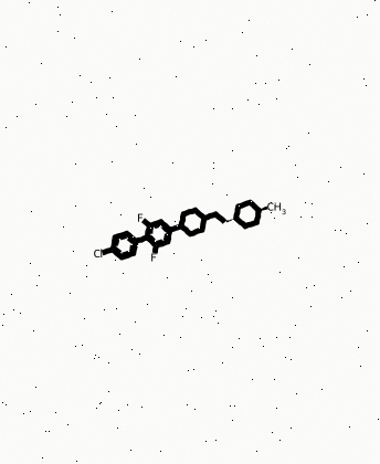 C[C@H]1CC[C@H](CCC2CCC(c3cc(F)c(-c4ccc(Cl)cc4)c(F)c3)CC2)CC1